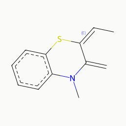 C=C1/C(=C\C)Sc2ccccc2N1C